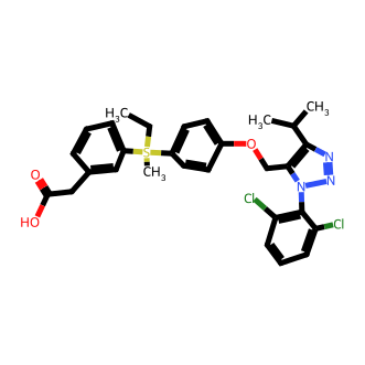 CCS(C)(c1ccc(OCc2c(C(C)C)nnn2-c2c(Cl)cccc2Cl)cc1)c1cccc(CC(=O)O)c1